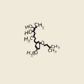 C=C\C(O)=C(O)/C=C(C)/C=C/C1=CC(OCC=C(C)C)CC(OC)=C1